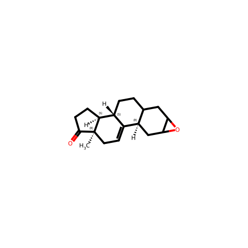 C[C@@]12CC=C3[C@@H](CCC4CC5OC5C[C@@H]34)[C@@H]1CCC2=O